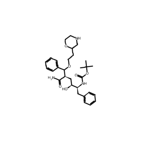 CC(C)(C)OC(=O)N[C@@H](Cc1ccccc1)[C@@H](O)C[C@@H](C(N)=O)C(OCCC1CNCCO1)c1ccccc1